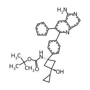 CC(C)(C)OC(=O)N[C@]1(c2ccc(-c3nc4ccnc(N)c4cc3-c3ccccc3)cc2)C[C@](O)(C2CC2)C1